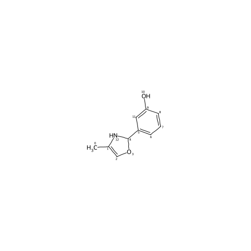 CC1=COC(c2cccc(O)c2)N1